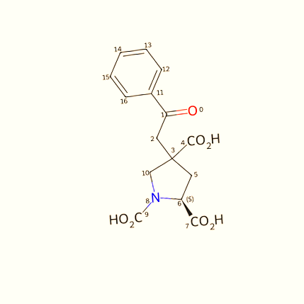 O=C(CC1(C(=O)O)C[C@@H](C(=O)O)N(C(=O)O)C1)c1ccccc1